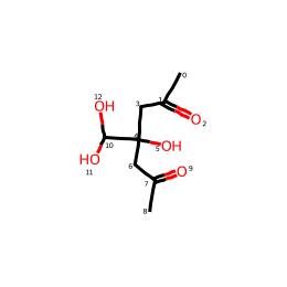 CC(=O)CC(O)(CC(C)=O)C(O)O